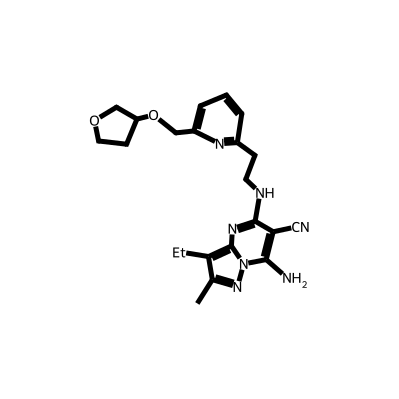 CCc1c(C)nn2c(N)c(C#N)c(NCCc3cccc(COC4CCOC4)n3)nc12